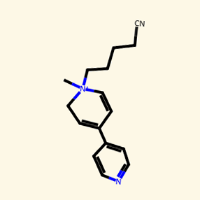 C[N+]1(CCCCC#N)C=CC(c2ccncc2)=CC1